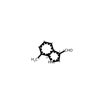 Cc1cccc2c(C=O)c[nH]c12